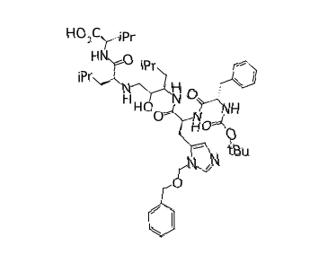 CC(C)CC(NC(=O)[C@H](Cc1cncn1COCc1ccccc1)NC(=O)[C@H](Cc1ccccc1)NC(=O)OC(C)(C)C)C(O)CN[C@@H](CC(C)C)C(=O)N[C@@H](C(=O)O)C(C)C